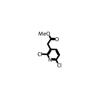 COC(=O)Cc1ccc(Cl)nc1Cl